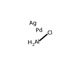 [Ag].[AlH2][Cl].[Pd]